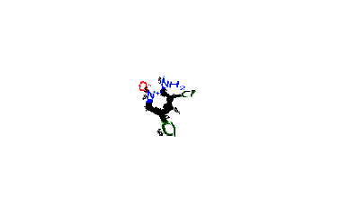 Nc1c(Cl)cc(Cl)c[n+]1[O-]